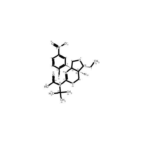 CC[C@H]1OC[C@]2(c3cc([N+](=O)[O-])ccc3F)N=C(N(C(=O)O)C(C)(C)C)SC[C@H]12